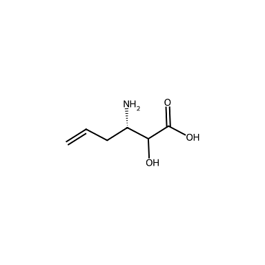 C=CC[C@H](N)C(O)C(=O)O